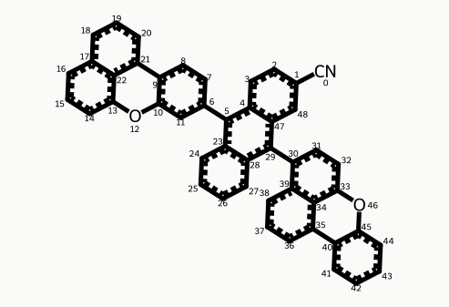 N#Cc1ccc2c(-c3ccc4c(c3)Oc3cccc5cccc-4c35)c3ccccc3c(-c3ccc4c5c(cccc35)-c3ccccc3O4)c2c1